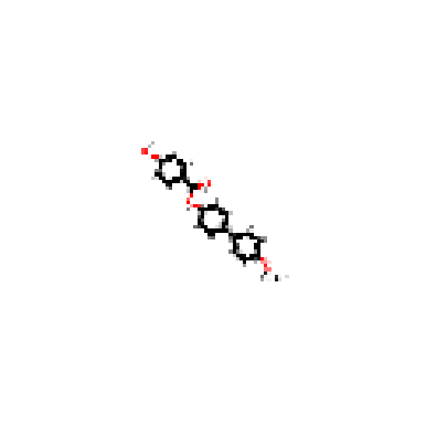 CCCCCCCCOc1ccc(-c2ccc(OC(=O)c3ccc(O)cc3)cc2)cc1